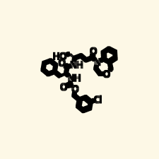 O=C(N[C@@H](CC1CCCCC1)C(=O)N[C@H](CO)CCC(=O)N1CCOCc2ccccc21)OCc1cccc(Cl)c1